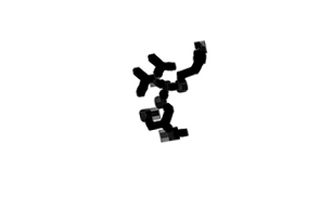 CNC(CO)COP(OCCC#N)N(C(C)C)C(C)C